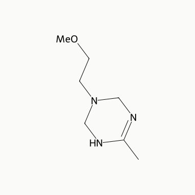 COCCN1CN=C(C)NC1